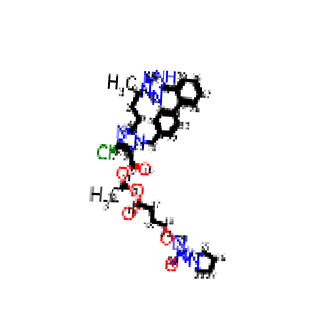 CCCCc1nc(Cl)c(C(=O)OC(C)OC(=O)CCCO/N=[N+](\[O-])N2CCCC2)n1Cc1ccc(-c2ccccc2-c2nnn[nH]2)cc1